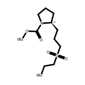 CC(C)(C)CCS(=O)(=O)CCC[C@@H]1CCCN1C(=O)OC(C)(C)C